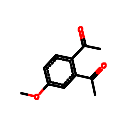 COc1ccc(C(C)=O)c(C(C)=O)c1